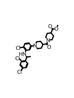 COC(=O)C1CCN(C(=O)C2CCN(c3ccc(Cl)c(NC(C)c4ccc(Cl)cc4Cl)c3)CC2)CC1